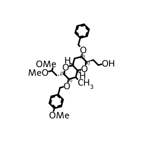 COc1ccc(CO[C@@H]2C(C)[C@@H]3O[C@H](CCO)[C@H](OCc4ccccc4)C[C@@H]3O[C@H]2CC(OC)OC)cc1